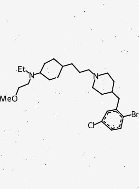 CCN(CCOC)C1CCC(CCCN2CCC(Cc3cc(Cl)ccc3Br)CC2)CC1